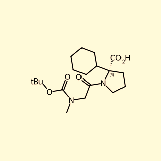 CN(CC(=O)N1CCC[C@]1(C(=O)O)C1CCCCC1)C(=O)OC(C)(C)C